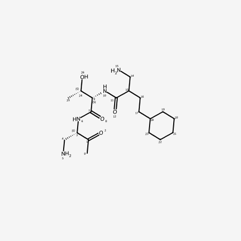 CC(=O)[C@H](CN)NC(=O)[C@@H](NC(=O)C(CN)CCC1CCCCC1)[C@H](C)O